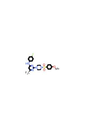 CCCOc1ccc(S(=O)(=O)N2CCN(c3nc(Nc4ccc(F)cc4)cc(C(F)(F)F)n3)CC2)cc1